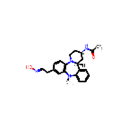 CN1c2ccccc2[C@H]2C[C@H](NC(=O)C(F)(F)F)CCN2c2ccc(CC=NO)cc21